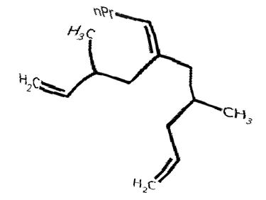 C=CCC(C)CC(=CCCC)CC(C)C=C